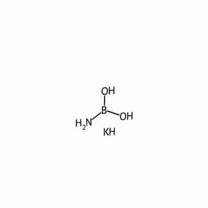 NB(O)O.[KH]